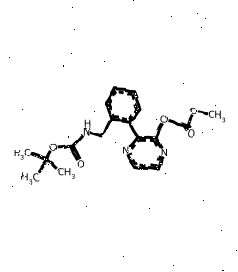 COC(=O)Oc1nccnc1-c1ccccc1CNC(=O)OC(C)(C)C